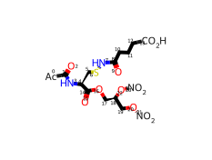 CC(=O)C(=O)N[C@@H](CSNC(=O)CCCC(=O)O)C(=O)OC[C@H](CO[N+](=O)[O-])O[N+](=O)[O-]